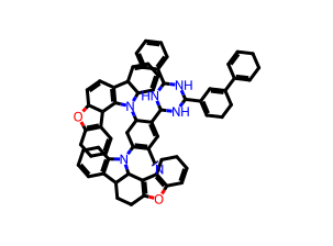 N#CC1=C(N2C3=C(C=CCC3)C3CCc4oc5c(c4C32)CCC=C5)CC(N2C3=C(C=CC4OC5=C(C=CCC5)C34)C3C=CC=CC32)C(C2NC(C3=CCCC(C4=CCCC=C4)=C3)NC(c3ccccc3)N2)=C1